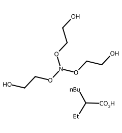 CCCCC(CC)C(=O)O.OCCON(OCCO)OCCO